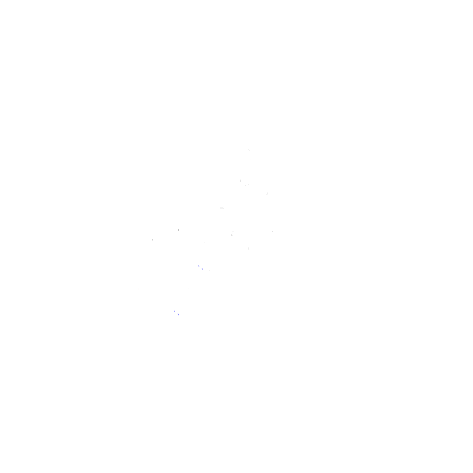 Cc1ccc2oc(-c3ccc4ocnc4n3)c(C)c(=O)c2c1